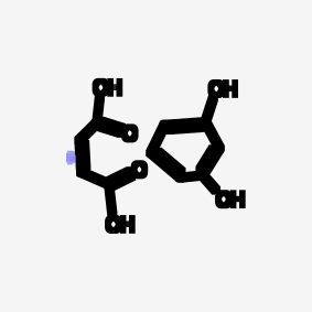 O=C(O)/C=C\C(=O)O.Oc1cccc(O)c1